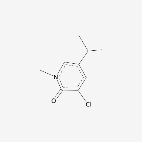 CC(C)c1cc(Cl)c(=O)n(C)c1